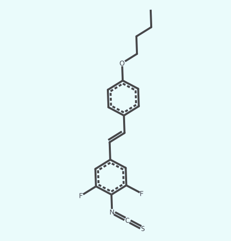 CCCCOc1ccc(C=Cc2cc(F)c(N=C=S)c(F)c2)cc1